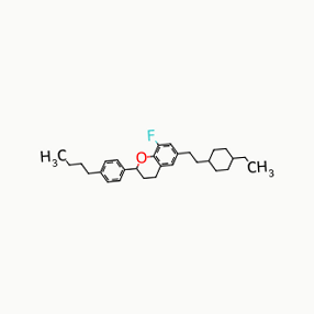 CCCCc1ccc(C2CCc3cc(CCC4CCC(CC)CC4)cc(F)c3O2)cc1